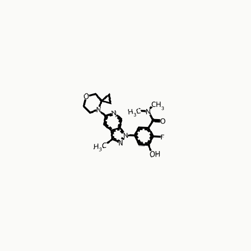 Cc1nn(-c2cc(O)c(F)c(C(=O)N(C)C)c2)c2cnc(N3CCOCC34CC4)cc12